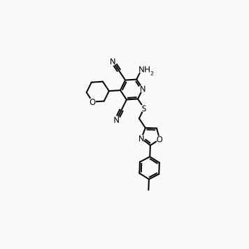 Cc1ccc(-c2nc(CSc3nc(N)c(C#N)c(C4CCCOC4)c3C#N)co2)cc1